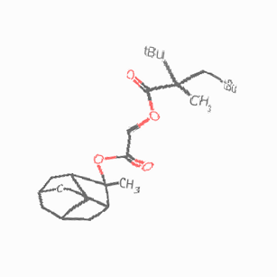 CC(C)(C)CC(C)(C(=O)OCC(=O)OC1(C)C2CC3CC(C2)CC1C3)C(C)(C)C